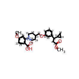 COC(=O)CC(c1cccc(OCC2CCN(c3cc(OC)ccc3C(=O)O)CC2)c1)C1CC1